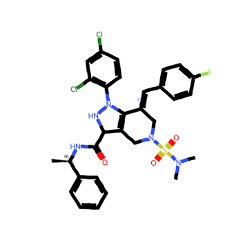 C[C@@H](NC(=O)C1NN(c2ccc(Cl)cc2Cl)C2=C1CN(S(=O)(=O)N(C)C)C/C2=C\c1ccc(F)cc1)c1ccccc1